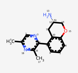 Cc1cnc(-c2cccc3c2C[C@H](N)CO3)c(C)n1